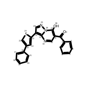 O=C(c1ccccc1)c1cnc2c(-c3cc(-c4ccccc4)cs3)cnn2c1O